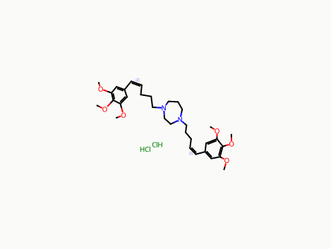 COc1cc(/C=C\CCCN2CCCN(CCC/C=C\c3cc(OC)c(OC)c(OC)c3)CC2)cc(OC)c1OC.Cl.Cl